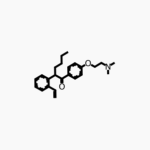 C=Cc1ccccc1C(CCCC)C(=O)c1ccc(OCCN(C)C)cc1